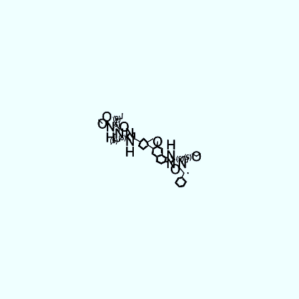 CC[C@@H](C)[C@H](NC(=O)OC)C(=O)N1C[C@@H](C)C[C@H]1c1ncc(-c2ccc3c(c2)COc2cc4c(ccc5nc([C@@H]6C[C@H](COC)CN6C(=O)[CH]c6ccccc6)[nH]c54)cc2-3)[nH]1